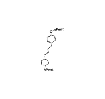 CCCCCOc1ccc(CCC=C[C@H]2CC[C@H](CCCCC)CC2)cc1